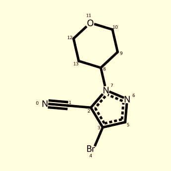 N#Cc1c(Br)cnn1C1CCOCC1